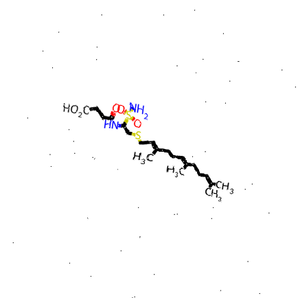 CC(C)=CCC/C(C)=C/CC/C(C)=C/CSCC(NC(=O)CCC(=O)O)S(N)(=O)=O